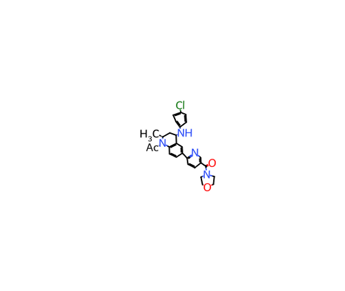 CC(=O)N1c2ccc(-c3ccc(C(=O)N4CCOCC4)cn3)cc2[C@H](Nc2ccc(Cl)cc2)C[C@@H]1C